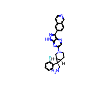 NC[C@]1(c2ccccc2F)[C@@H]2CCN(c3cnc4c(-c5ccc6cnccc6c5)n[nH]c4n3)C[C@@H]21